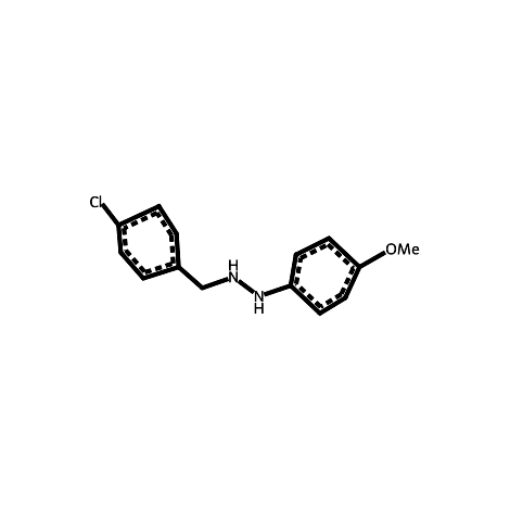 COc1ccc(NNCc2ccc(Cl)cc2)cc1